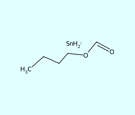 CCCCOC=O.[SnH2]